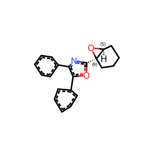 c1ccc(-c2nc([C@@]34CCCC[C@@H]3O4)oc2-c2ccccc2)cc1